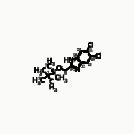 CC(C)(C)[Si](C)(C)OCc1nc2cc(Cl)c(Cl)cc2[nH]1